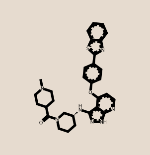 CN1CCC(C(=O)N2CCC[C@@H](Nc3n[nH]c4nccc(Oc5ccc(-c6nc7ccccc7s6)cc5)c34)C2)CC1